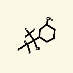 CC1CCCC(C(O)(C(F)(F)F)C(F)(F)F)C1